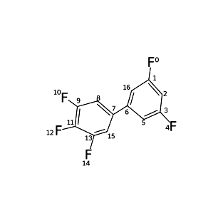 Fc1cc(F)cc(-c2cc(F)c(F)c(F)c2)c1